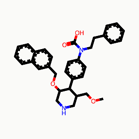 COCC1CNCC(OCc2ccc3ccccc3c2)C1c1ccc(N(CCc2ccccc2)C(=O)O)cc1